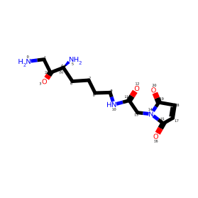 NCC(=O)[C@@H](N)CCCCNC(=O)CN1C(=O)C=CC1=O